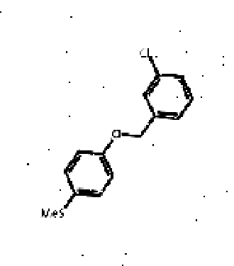 CSc1ccc(OCc2cccc(Cl)c2)cc1